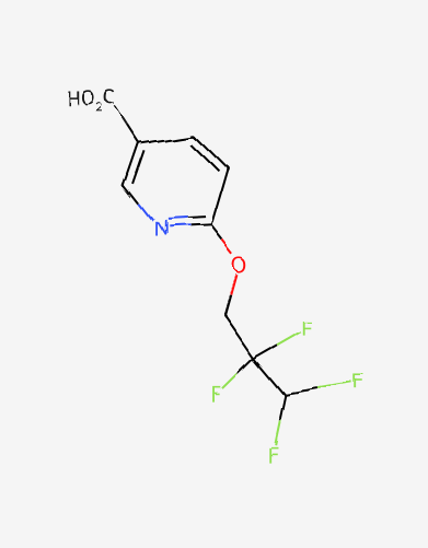 O=C(O)c1ccc(OCC(F)(F)C(F)F)nc1